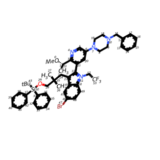 CO[C@@H](C)c1ncc(N2CCN(Cc3ccccc3)CC2)cc1-c1c(CC(C)(C)CO[Si](c2ccccc2)(c2ccccc2)C(C)(C)C)c2cc(Br)ccc2n1CC(F)(F)F